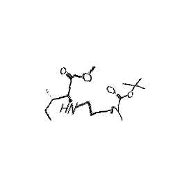 CC[C@H](C)[C@H](NCCN(C)C(=O)OC(C)(C)C)C(=O)OC